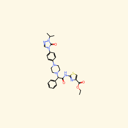 CCOC(=O)c1csc(NC(=O)C(c2ccccc2)N2CCN(c3ccc(-n4cnn(C(C)C)c4=O)cc3)CC2)n1